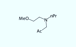 CCCN(CCOC)CC(C)=O